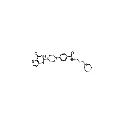 O=C(NCCCN1CCOCC1)c1ccc(N2CCN(c3nc4ccsc4c(=O)[nH]3)CC2)cc1